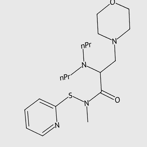 CCCN(CCC)C(CN1CCOCC1)C(=O)N(C)Sc1ccccn1